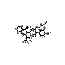 Cc1nsc2nc([C@@H](C(C)C)N(CCCN(C)C)C(=O)c3ccc(Br)cc3)n(Cc3ccccc3)c(=O)c12